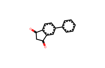 O=C1CC(=O)c2cc(-c3ccccc3)ccc21